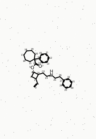 C=CC1C[C@H](OC(=O)C2(c3ccccc3)CCCCCC2)C1CCNCCc1ccccc1